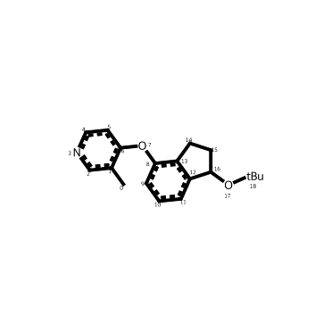 Cc1cnccc1Oc1cccc2c1CCC2OC(C)(C)C